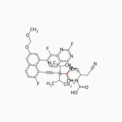 COCOc1cc(-c2ccc3c(N4CCN(C(=O)O)C(CC#N)C4)nc(F)nc3c2F)c2c(C#C[Si](C(C)C)(C(C)C)C(C)C)c(F)ccc2c1